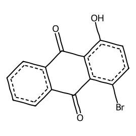 O=C1c2ccccc2C(=O)c2c(Br)ccc(O)c21